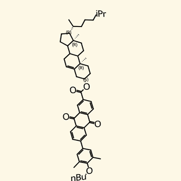 CCCCOc1c(C)cc(-c2ccc3c(c2)C(=O)c2ccc(C(=O)O[C@H]4CC[C@@]5(C)C(=CCC6C5CC[C@@]5(C)C6CC[C@@H]5C(C)CCCC(C)C)C4)cc2C3=O)cc1C